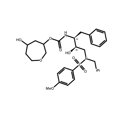 COc1ccc(S(=O)(=O)N(CC(C)C)C[C@@H](O)[C@H](Cc2ccccc2)NC(=O)OC2COCCC(O)C2)cc1